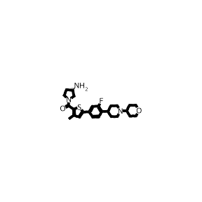 Cc1cc(-c2ccc(C3CCN(C4CCOCC4)CC3)c(F)c2)sc1C(=O)N1CC[C@H](N)C1